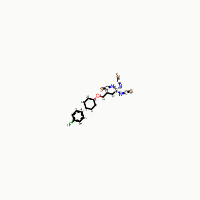 Fc1ccc([C@H]2CC[C@H](OCCC[Si](N=C=S)(N=C=S)N=C=S)CC2)cc1